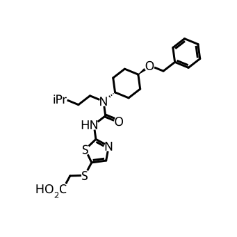 CC(C)CCN(C(=O)Nc1ncc(SCC(=O)O)s1)[C@H]1CC[C@H](OCc2ccccc2)CC1